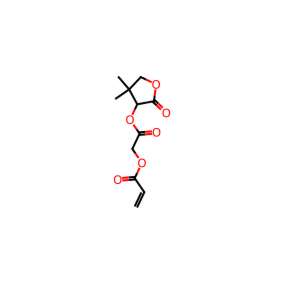 C=CC(=O)OCC(=O)OC1C(=O)OCC1(C)C